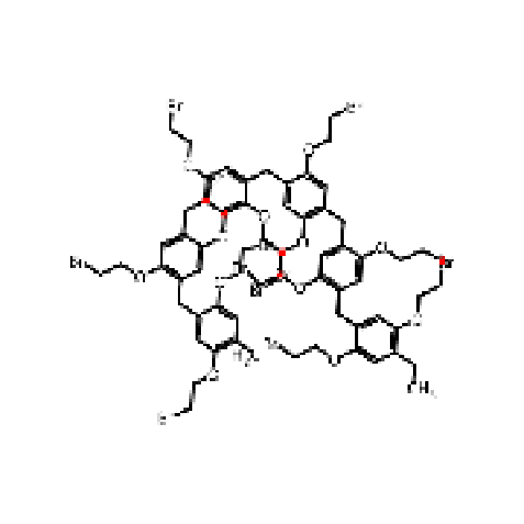 CCc1cc(OCCBr)c(Cc2cc(OCCBr)c(Cc3cc(OCCBr)c(Cc4cc(OCCBr)c(Cc5cc(OCCBr)c(Cc6cc(OCCBr)c(C)cc6OCCBr)cc5OCCBr)cc4OCCBr)cc3OCCBr)cc2OCCBr)cc1OCCBr